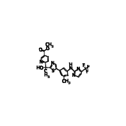 COC(=O)c1ccc(C(C)(O)c2ncc(-c3cc(C)cc(Nc4nccc(C(F)(F)F)n4)c3)s2)nc1